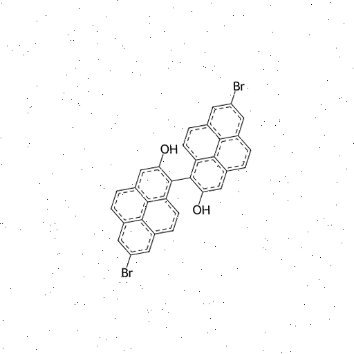 Oc1cc2ccc3cc(Br)cc4ccc(c1-c1c(O)cc5ccc6cc(Br)cc7ccc1c5c67)c2c34